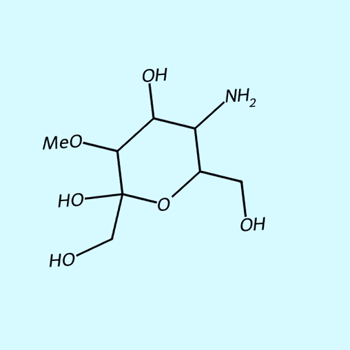 COC1C(O)C(N)C(CO)OC1(O)CO